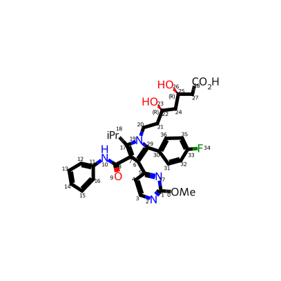 COc1nccc(-c2c(C(=O)Nc3ccccc3)c(C(C)C)n(CC[C@@H](O)C[C@@H](O)CC(=O)O)c2-c2ccc(F)cc2)n1